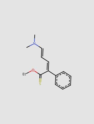 CCOC(=S)C(=CC=CN(C)C)c1ccccc1